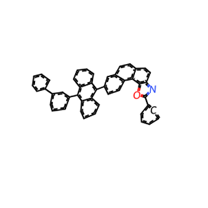 c1ccc(-c2cccc(-c3c4ccccc4c(-c4ccc5c(ccc6ccc7nc(-c8ccccc8)oc7c65)c4)c4ccccc34)c2)cc1